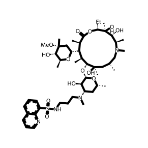 CC[C@H]1OC(=O)[C@H](C)C([C@H]2C[C@@](C)(OC)[C@@H](O)[C@H](C)O2)[C@H](C)[C@@H](O[C@@H]2O[C@H](C)C[C@H](N(C)CCCNS(=O)(=O)c3cccc4cccnc34)[C@H]2O)[C@](C)(O)C[C@@H](C)CN(C)[C@H](C)[C@@H](O)[C@]1(C)O